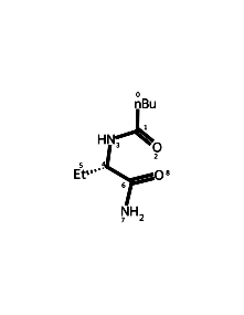 CCCCC(=O)N[C@@H](CC)C(N)=O